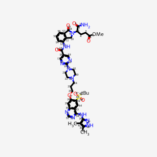 COC(=O)CCC(C(N)=O)N1Cc2c(NC(=O)c3cnc(N4CCN(CCCOc5cc6ncnc(Nc7n[nH]c(C)c7C)c6cc5S(=O)(=O)C(C)(C)C)CC4)nc3)cccc2C1=O